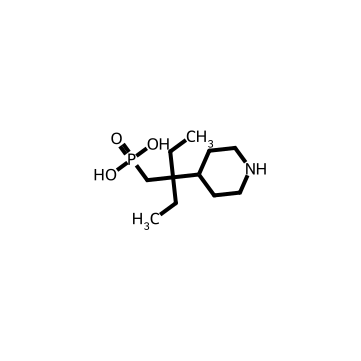 CCC(CC)(CP(=O)(O)O)C1CCNCC1